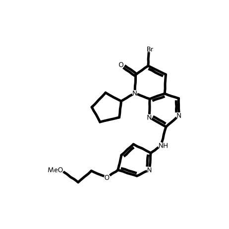 COCCOc1ccc(Nc2ncc3cc(Br)c(=O)n(C4CCCC4)c3n2)nc1